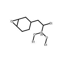 CCO[SiH](OCC)C(CC)CC1CCC2OC2C1